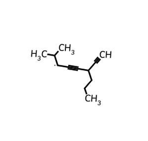 C#CC(C#C[CH]C(C)C)CCC